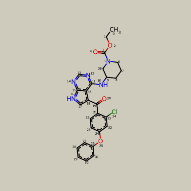 CCOC(=O)N1CCCC(Nc2ncnc3[nH]cc(C(=O)c4ccc(Oc5ccccc5)cc4Cl)c23)C1